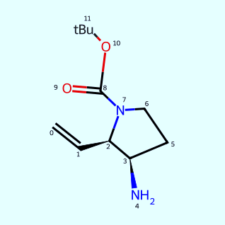 C=C[C@@H]1[C@H](N)CCN1C(=O)OC(C)(C)C